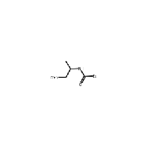 CCC(=O)NC(C)CNC